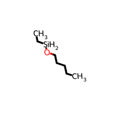 CCCCCO[SiH2]CC